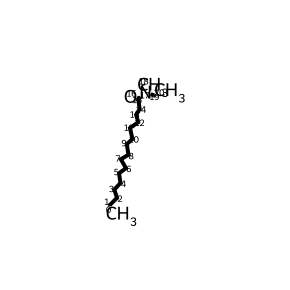 CCCCCCCCCCCCCCCC(=O)N(C)CC